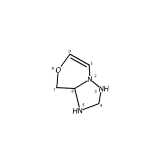 C1=CN2NCNC2CO1